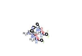 C[C@H](NC(=O)Cc1cc(F)cc(F)c1)C(=O)NC(=O)[C@H](Cc1ccccc1)NCCN(C)C.C[C@H](NC(=O)Cc1cc(F)cc(F)c1)C(=O)NC(=O)[C@H](Cc1ccccc1)NCc1ccncc1